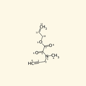 C#CCN(C)C(=O)C(=O)OCC=C